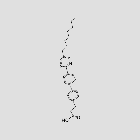 CCCCCCCCc1cnc(-c2ccc(-c3ccc(CCC(=O)O)cc3)cc2)nc1